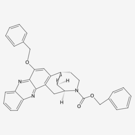 O=C(OCc1ccccc1)N1CC[C@@]23CCCC[C@@H]2[C@@H]1Cc1c3cc(OCc2ccccc2)c2nc3ccccc3nc12